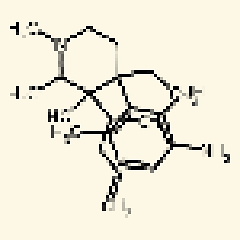 C=CCC(C)C1(O)C(C)N(C)CCC1(CC)c1c(C)ccc(N)c1O